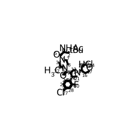 CC(=O)N[C@@H](CC(C)(C)C)C(=O)N1CCN(C(=O)[C@@H]2CN(C3CCOCC3)C[C@H]2c2ccc(Cl)cc2F)[C@@H](C)C1.Cl